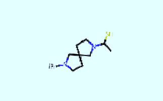 CC(C)N1CCC2(CCN(C(C)S)C2)C1